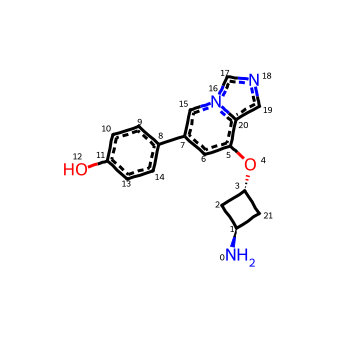 N[C@H]1C[C@H](Oc2cc(-c3ccc(O)cc3)cn3cncc23)C1